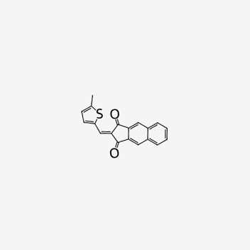 Cc1ccc(C=C2C(=O)c3cc4ccccc4cc3C2=O)s1